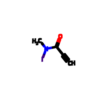 C#CC(=O)N(C)I